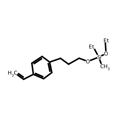 C=Cc1ccc(CCCO[Si](C)(CC)OCC)cc1